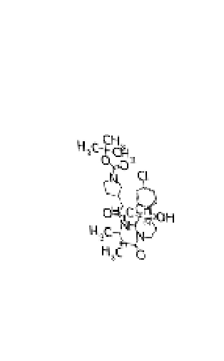 CC(NC(=O)CC1CCN(C(=O)OC(C)(C)C)C1)[C@@H](C)C(=O)N1CC[C@](O)(c2ccc(Cl)cc2)C(C)(C)C1